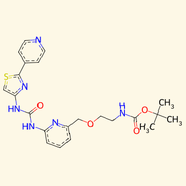 CC(C)(C)OC(=O)NCCOCc1cccc(NC(=O)Nc2csc(-c3ccncc3)n2)n1